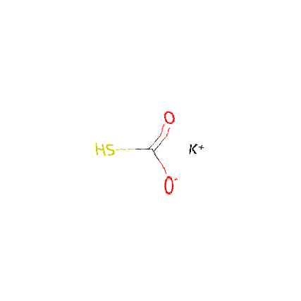 O=C([O-])S.[K+]